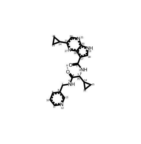 O=C(N[C@@H](C(=O)NCc1cccnc1)C1CC1)c1c[nH]c2ncc(C3CC3)nc12